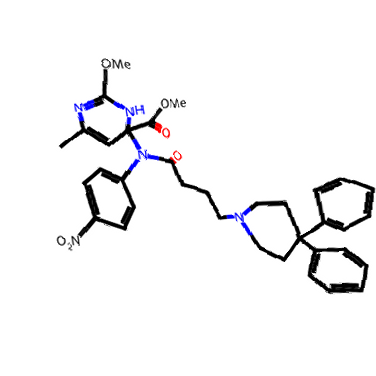 COC(=O)C1(N(C(=O)CCCN2CCC(c3ccccc3)(c3ccccc3)CC2)c2ccc([N+](=O)[O-])cc2)C=C(C)N=C(OC)N1